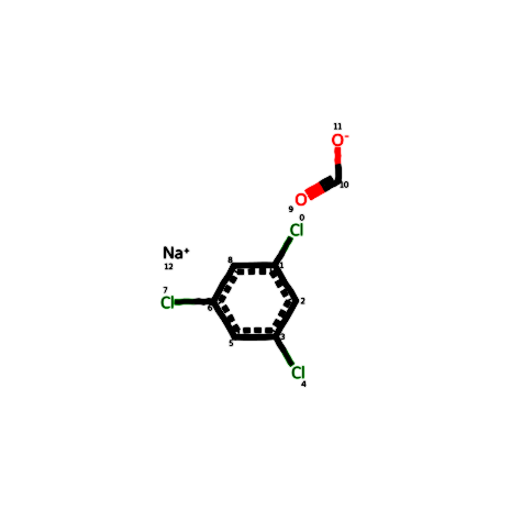 Clc1cc(Cl)cc(Cl)c1.O=C[O-].[Na+]